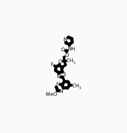 COc1cnc2c(-c3nc4cc(F)c5c(c4s3)CC(C)(COC(=O)Nc3cccnc3)O5)cc(C)cc2n1